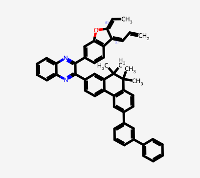 C=C/C=c1\c(=C/C)oc2cc(-c3nc4ccccc4nc3-c3ccc4c(c3)C(C)(C)C(C)(C)c3ccc(-c5cccc(-c6ccccc6)c5)cc3-4)ccc12